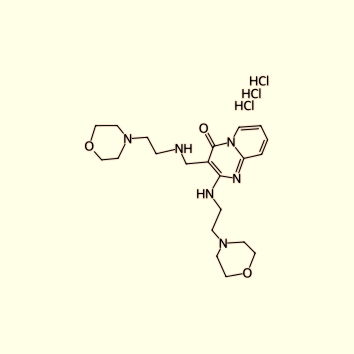 Cl.Cl.Cl.O=c1c(CNCCN2CCOCC2)c(NCCN2CCOCC2)nc2ccccn12